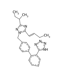 CCC=Cc1nc(C(C)CC)nn1Cc1ccc(-c2ccccc2-c2nnn[nH]2)cc1